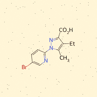 CCc1c(C(=O)O)nn(-c2ccc(Br)cn2)c1C